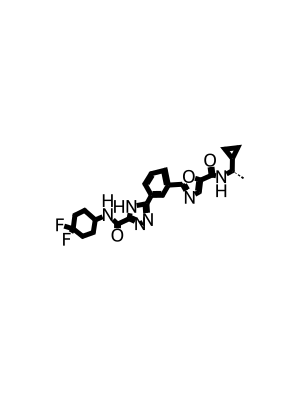 C[C@H](NC(=O)c1cnc(-c2cccc(-c3nnc(C(=O)NC4CCC(F)(F)CC4)[nH]3)c2)o1)C1CC1